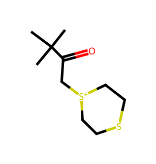 CC(C)(C)C(=O)C[S+]1CCSCC1